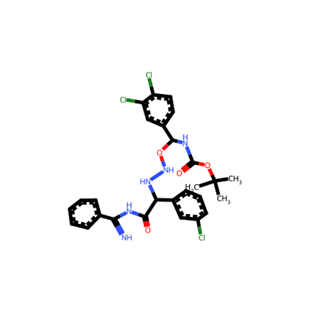 CC(C)(C)OC(=O)NC(ONNC(C(=O)NC(=N)c1ccccc1)c1cccc(Cl)c1)c1ccc(Cl)c(Cl)c1